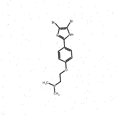 CN(C)CCOc1ccc(-c2nc(Br)c(Br)[nH]2)cc1